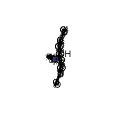 C=CC(=O)OCCCCCCOc1ccc(OC(=O)[C@H]2CC[C@H](C(=O)Oc3ccc(OC(O)[C@H]4CC[C@H](C(=O)Oc5ccc(OCCCCCCOC(=O)C=C)cc5)CC4)cc3/C=N/N(CC(C)C)c3nc4ccccc4s3)CC2)cc1